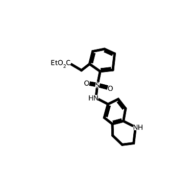 CCOC(=O)Cc1ccccc1S(=O)(=O)Nc1ccc2c(c1)CCCN2